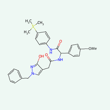 COc1ccc(C(NC(=O)Cc2cn(Cc3ccccc3)nc2O)C(=O)Nc2ccc(S(C)(C)C)cc2)cc1